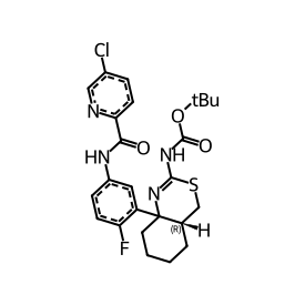 CC(C)(C)OC(=O)NC1=NC2(c3cc(NC(=O)c4ccc(Cl)cn4)ccc3F)CCCC[C@H]2CS1